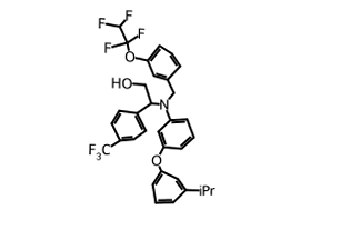 CC(C)c1cccc(Oc2cccc(N(Cc3cccc(OC(F)(F)C(F)F)c3)C(CO)c3ccc(C(F)(F)F)cc3)c2)c1